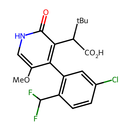 COc1c[nH]c(=O)c(C(C(=O)O)C(C)(C)C)c1-c1cc(Cl)ccc1C(F)F